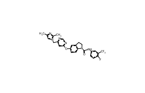 Cc1cn(Cc2cc(Oc3ccc4c(c3)CCN4C(=O)Nc3ccc(F)c(C(F)(F)F)c3)ncn2)c(C)n1